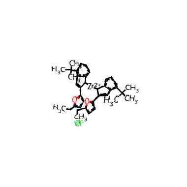 CCc1ccc(C2=Cc3c(cccc3C(C)(C)C)[CH]2[Zr+2][CH]2C(c3ccc(CC)o3)=Cc3c2cccc3C(C)(C)C)o1.[Cl-].[Cl-]